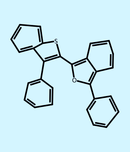 c1ccc(-c2c(-c3oc(-c4ccccc4)c4ccccc34)sc3ccccc23)cc1